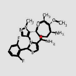 CO[C@H]1[C@H](C)O[C@@H](c2c(N3C(C(N)=O)=CSC3c3c(F)cccc3F)cnn2C)CC[C@@H]1N